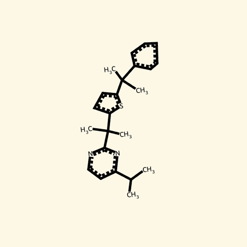 CC(C)c1ccnc(C(C)(C)c2ccc(C(C)(C)c3ccccc3)s2)n1